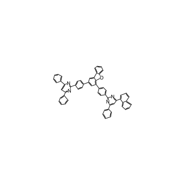 c1ccc(-c2cc(-c3ccccc3)nc(-c3ccc(-c4cc(-c5ccc(-c6nc(-c7ccccc7)cc(-c7cccc8ccccc78)n6)cc5)c5oc6ccccc6c5c4)cc3)n2)cc1